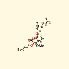 CCC=CCCOc1c(OC)c2cccc(OCC=C(C)CCC=C(C)C)c2oc1=O